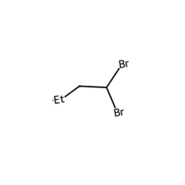 C[CH]CC(Br)Br